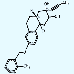 CC#C[C@]1(O)C[C@H]2CCc3cc(OCc4cccnc4C)ccc3C2(CC)CC1O